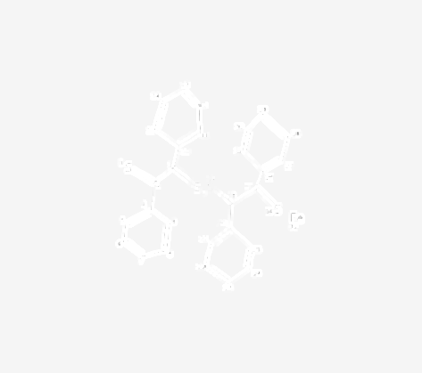 S=C(C(=S)c1ccccc1)c1ccccc1.S=C(C(=S)c1ccccc1)c1ccccc1.[Fe]